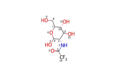 O=C(N[C@@H]1C(O)OC(CO)[C@H](O)C1O)C(F)(F)F